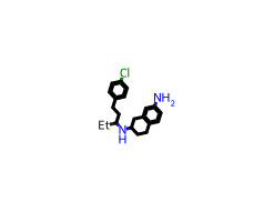 CCC(CCc1ccc(Cl)cc1)NC1CCc2ccc(N)cc2C1